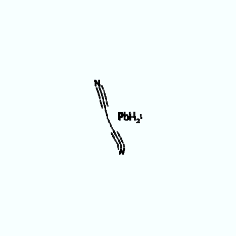 N#CC#N.[PbH2]